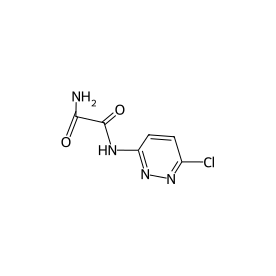 NC(=O)C(=O)Nc1ccc(Cl)nn1